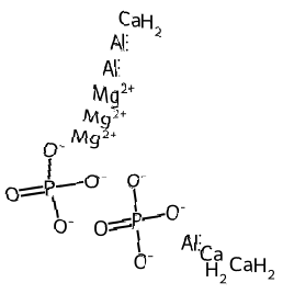 O=P([O-])([O-])[O-].O=P([O-])([O-])[O-].[Al].[Al].[Al].[CaH2].[CaH2].[CaH2].[Mg+2].[Mg+2].[Mg+2]